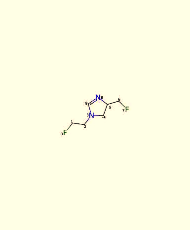 FCCN1[C]C(CF)N=[C]1